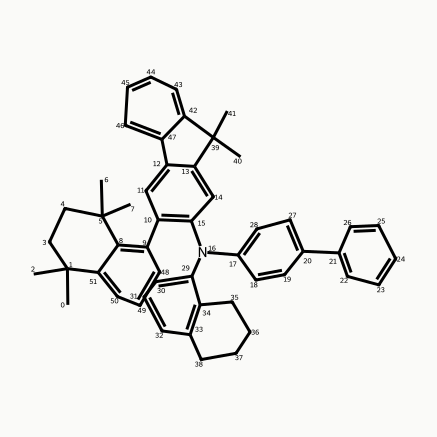 CC1(C)CCC(C)(C)c2c(-c3cc4c(cc3N(c3ccc(-c5ccccc5)cc3)c3cccc5c3CCCC5)C(C)(C)c3ccccc3-4)cccc21